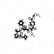 CCOC(=O)N1CCN(C(=O)[C@@H](C)NC(=O)c2cc(OCC(=O)N3CCC[C@H]3C(=O)NC3CCC3)n(-c3ccccc3)n2)CC1